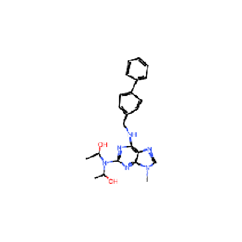 CC(O)N(c1nc(NCc2ccc(-c3ccccc3)cc2)c2ncn(C)c2n1)C(C)O